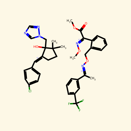 CC1(C)CC/C(=C\c2ccc(Cl)cc2)C1(O)Cn1cncn1.CO/N=C(/C(=O)OC)c1ccccc1CO/N=C(\C)c1cccc(C(F)(F)F)c1